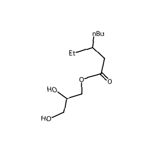 CCCCC(CC)CC(=O)OCC(O)CO